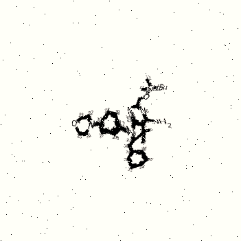 CC1(C)c2c(N)nc(CO[Si](C)(C)C(C)(C)C)nc2N(c2ccc(N3CCOCC3)cc2)C1Cc1ccccc1